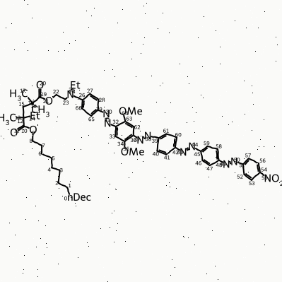 CCCCCCCCCCCCCCCCCCOC(=O)C(C)(CC)CC(C)(C)C(=O)OCCN(CC)c1ccc(/N=N/c2cc(OC)c(/N=N/c3ccc(/N=N/c4ccc(/N=N/c5ccc([N+](=O)[O-])cc5)cc4)cc3)cc2OC)cc1